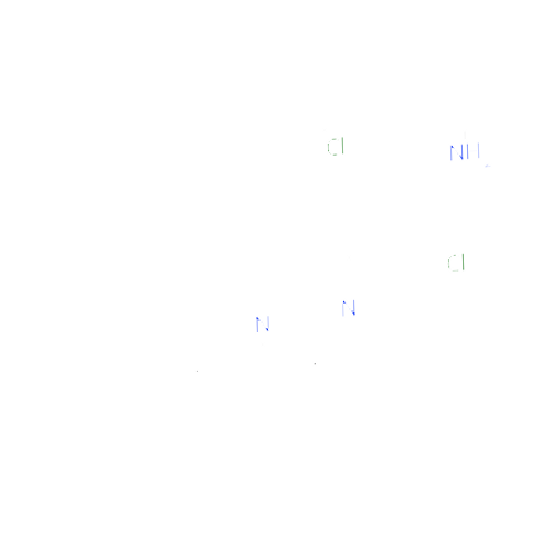 C=CCn1cnc(C(Cl)C(N)Cl)c1